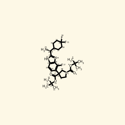 CC(C)(C)OC(=O)N1CCC(C(=O)OC(C)(C)C)(c2ccc3[nH]c([C@@H](N)C4CCC(F)(F)CC4)nc3c2F)C1